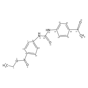 CCOC(=O)c1ccc(NC(=O)Nc2ccc(C(C)=O)cc2)cc1